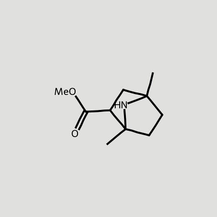 COC(=O)C1CC2(C)CCC1(C)N2